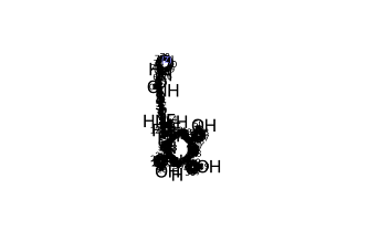 O=C(NCCSSCCNc1c(F)c(F)c(-c2c3nc(c(-c4cccc(O)c4)c4ccc([nH]4)c(-c4cccc(O)c4)c4nc(c(-c5cccc(O)c5)c5ccc2[nH]5)C=C4)C=C3)c(F)c1F)OC[C@@H]1[C@@H]2CC/C=C\CC[C@@H]21